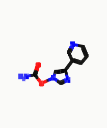 NC(=O)On1cnc(-c2cccnc2)c1